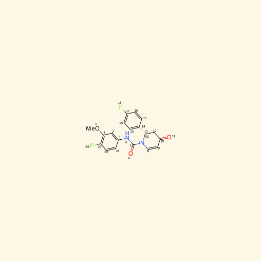 COc1cc(NC(=O)N2C=CC(=O)C[C@H]2c2ccc(F)cc2)ccc1F